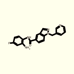 Nc1cc(F)ccc1NC(=O)c1ccc2c(cnn2Cc2cccnc2)c1